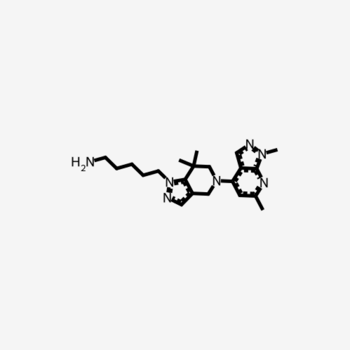 Cc1cc(N2Cc3cnn(CCCCCN)c3C(C)(C)C2)c2cnn(C)c2n1